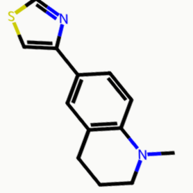 CN1CCCc2cc(-c3cscn3)ccc21